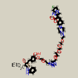 CCOC(=O)C1=C(Nc2ccccc2)S/C(=C\c2ccc(OCCOCCn3cc(COCCOCCOCCOCCN4CCN(c5ccc6cc(-c7cn8ccc(F)cc8n7)c(=O)oc6c5)CC4)nn3)c(O)c2)C1=O